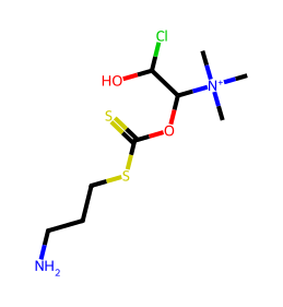 C[N+](C)(C)C(OC(=S)SCCCN)C(O)Cl